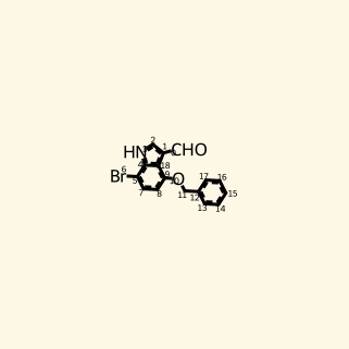 O=Cc1c[nH]c2c(Br)ccc(OCc3ccccc3)c12